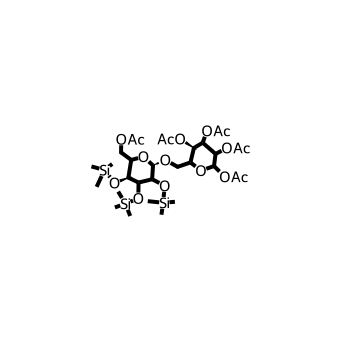 CC(=O)OCC1O[C@H](OCC2OC(OC(C)=O)C(OC(C)=O)C(OC(C)=O)[C@@H]2OC(C)=O)C(O[Si](C)(C)C)C(O[Si](C)(C)C)[C@H]1O[Si](C)(C)C